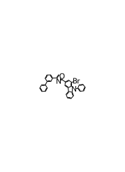 Brc1cc(-c2nc(-c3cccc(-c4ccccc4)c3)co2)cc2c3ccccc3n(-c3ccccc3)c12